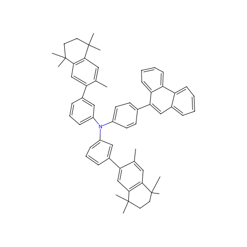 Cc1cc2c(cc1-c1cccc(N(c3ccc(-c4cc5ccccc5c5ccccc45)cc3)c3cccc(-c4cc5c(cc4C)C(C)(C)CCC5(C)C)c3)c1)C(C)(C)CCC2(C)C